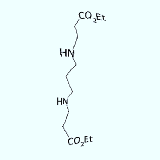 CCOC(=O)CCNCCCNCCC(=O)OCC